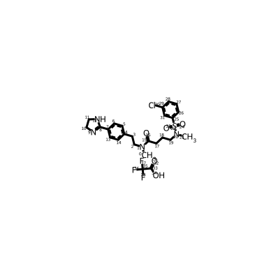 CN(CCc1ccc(C2=NCCN2)cc1)C(=O)CCCN(C)S(=O)(=O)c1cccc(Cl)c1.O=C(O)C(F)(F)F